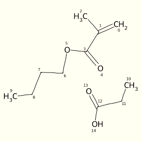 C=C(C)C(=O)OCCCC.CCC(=O)O